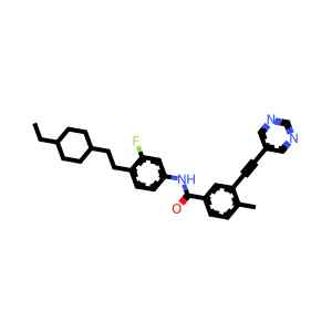 CCC1CCC(CCc2ccc(NC(=O)c3ccc(C)c(C#Cc4cncnc4)c3)cc2F)CC1